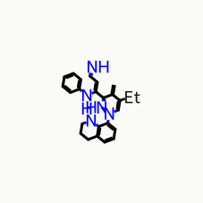 C=C1C(CC)=CN(c2cccc3c2NCCC3)N=C1/C(=C/C=N)Nc1ccccc1